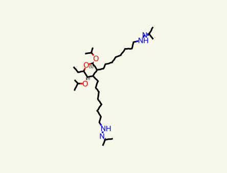 CCC1O[C@H](OC(C)C)C(CCCCCCCCNN=C(C)C)C(CCCCCCCCNN=C(C)C)[C@@H]1OC(C)C